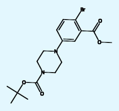 COC(=O)c1cc(N2CCN(C(=O)OC(C)(C)C)CC2)ccc1Br